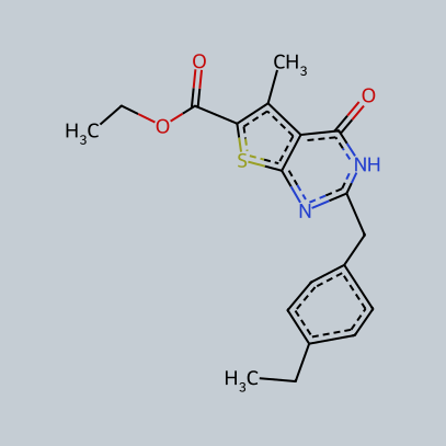 CCOC(=O)c1sc2nc(Cc3ccc(CC)cc3)[nH]c(=O)c2c1C